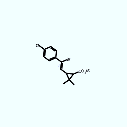 CCOC(=O)C1C(/C=C(\Br)c2ccc(Cl)cc2)C1(C)C